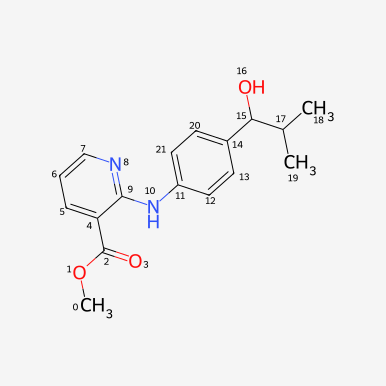 COC(=O)c1cccnc1Nc1ccc(C(O)C(C)C)cc1